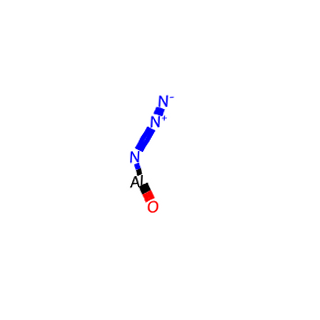 [N-]=[N+]=[N][Al]=[O]